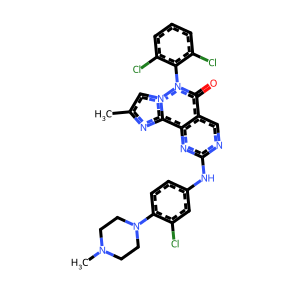 Cc1cn2c(n1)c1nc(Nc3ccc(N4CCN(C)CC4)c(Cl)c3)ncc1c(=O)n2-c1c(Cl)cccc1Cl